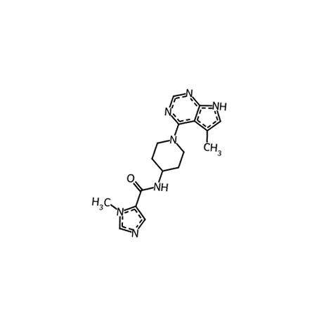 Cc1c[nH]c2ncnc(N3CCC(NC(=O)c4cncn4C)CC3)c12